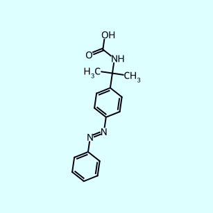 CC(C)(NC(=O)O)c1ccc(N=Nc2ccccc2)cc1